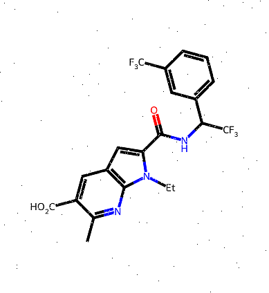 CCn1c(C(=O)NC(c2cccc(C(F)(F)F)c2)C(F)(F)F)cc2cc(C(=O)O)c(C)nc21